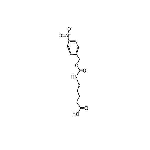 O=C(O)CCCSNC(=O)OCc1ccc([N+](=O)[O-])cc1